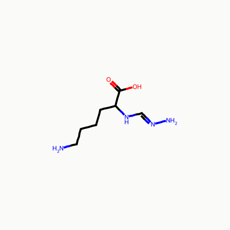 NCCCCC(NC=NN)C(=O)O